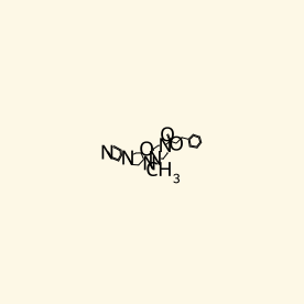 CN(C1CCN(c2ccncc2)CC1)N1CCN(C(=O)OCc2ccccc2)CC1=O